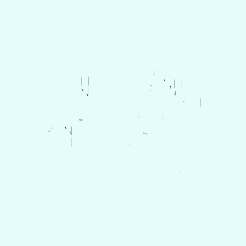 C[C@@H](NS(=O)(=O)CCCCNC1CCC(=O)NC1=O)c1ccc(F)c(OCC2CC2)c1